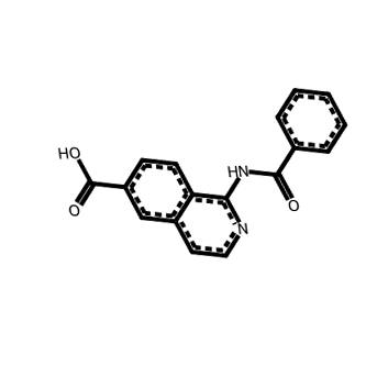 O=C(O)c1ccc2c(NC(=O)c3ccccc3)nccc2c1